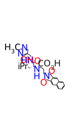 Cc1ncc(CNC(=O)[C@@H](CC(C)C)NC(CCN2C(=O)c3cc4ccccc4cc3C2=O)C(=O)O)c(O)n1